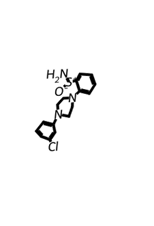 N[S+]([O-])c1ccccc1N1CCN(c2cccc(Cl)c2)CC1